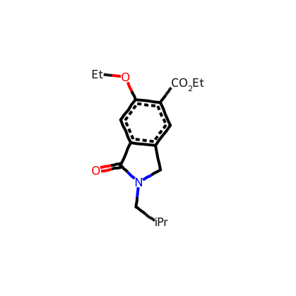 CCOC(=O)c1cc2c(cc1OCC)C(=O)N(CC(C)C)C2